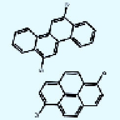 Brc1cc2c3ccccc3c(Br)cc2c2ccccc12.Brc1ccc2ccc3c(Br)ccc4ccc1c2c43